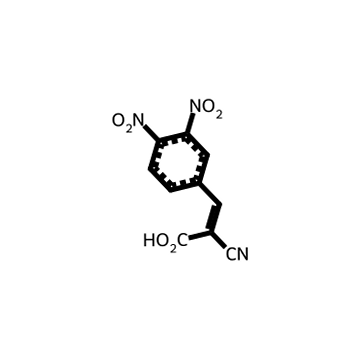 N#CC(=Cc1ccc([N+](=O)[O-])c([N+](=O)[O-])c1)C(=O)O